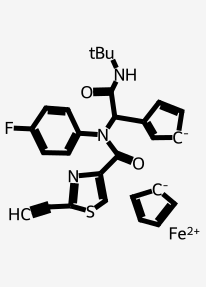 C#Cc1nc(C(=O)N(c2ccc(F)cc2)C(C(=O)NC(C)(C)C)c2cc[cH-]c2)cs1.[Fe+2].c1cc[cH-]c1